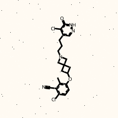 Cc1c(OC2CC3(C2)CN(CCCc2cn[nH]c(=O)c2Cl)C3)ccc(Cl)c1C#N